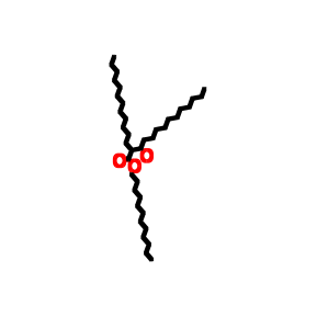 CCCCCCCCCCCCOC(=O)C(CCCCCCCCCCCC)C(=O)CCCCCCCCCCC